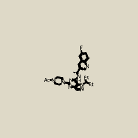 CCC(CC)n1ncc2nc(N3CCN(C(C)=O)CC3)nc(N[C@@H](C)c3cnc4ccc(F)cc4c3)c21